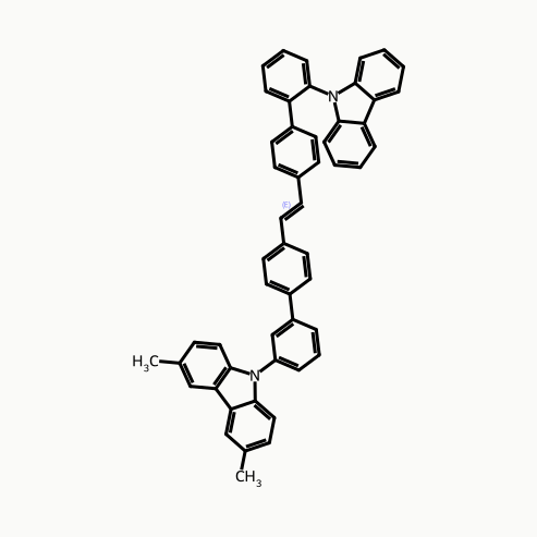 Cc1ccc2c(c1)c1cc(C)ccc1n2-c1cccc(-c2ccc(/C=C/c3ccc(-c4ccccc4-n4c5ccccc5c5ccccc54)cc3)cc2)c1